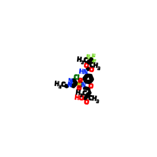 CCn1cc(S(=O)(=O)N2C[C@H](CC(C)(C)C(=O)O)Oc3ccc(NC(=O)OC(C)(C)C(F)(F)F)cc32)c(Cl)n1